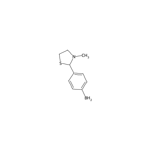 Bc1ccc(C2SCCN2C)cc1